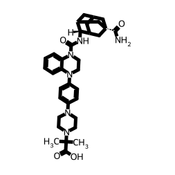 CC(C)(C(=O)O)N1CCN(c2ccc(N3CCN(C(=O)N[C@H]4C5CC6CC4C[C@@](C(N)=O)(C6)C5)c4ccccc43)cc2)CC1